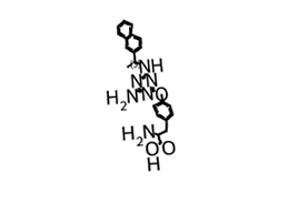 C[C@H](Nc1nc(N)nc(Oc2ccc(CC(N)C(=O)O)cc2)n1)c1ccc2ccccc2c1